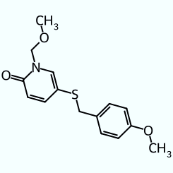 COCn1cc(SCc2ccc(OC)cc2)ccc1=O